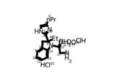 CCCc1c[nH]c(C2(CC)Cc3ccccc3N2C(=O)CN)n1.Cl.Cl.O.O